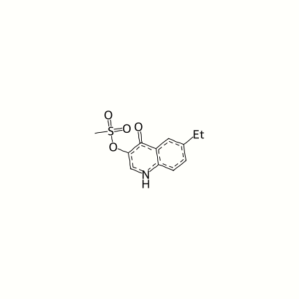 CCc1ccc2[nH]cc(OS(C)(=O)=O)c(=O)c2c1